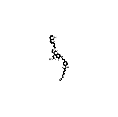 [N-]=[N+]=NCCCCC(=O)NC1CCC(CCOc2ccc([C@H](CC(=O)O)N3CCN(CCCc4ccc5c(n4)NCCC5)C3=O)cc2F)CC1